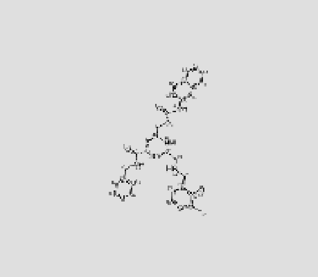 O=C(CC[C@@H](COC(=O)Nc1cc2ccccc2cn1)NC(=O)CNCc1cccc(F)c1Cl)NCc1cnccn1